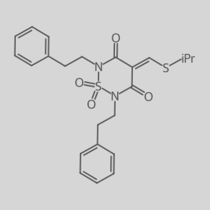 CC(C)SC=C1C(=O)N(CCc2ccccc2)S(=O)(=O)N(CCc2ccccc2)C1=O